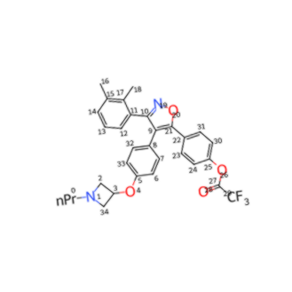 CCCN1CC(Oc2ccc(-c3c(-c4cccc(C)c4C)noc3-c3ccc(OC(=O)C(F)(F)F)cc3)cc2)C1